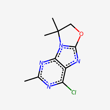 Cc1nc(Cl)c2nc3n(c2n1)C(C)(C)CO3